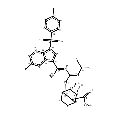 COC(=O)[C@H]1C2CCC(CC2)[C@H]1NC(=N/C(Cl)I)/N=C(\N)c1cn(S(=O)(=O)c2ccc(C)cc2)c2ncc(F)cc12